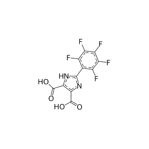 O=C(O)c1nc(-c2c(F)c(F)c(F)c(F)c2F)[nH]c1C(=O)O